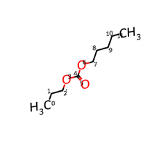 CC[CH]OC(=O)OCCCCC